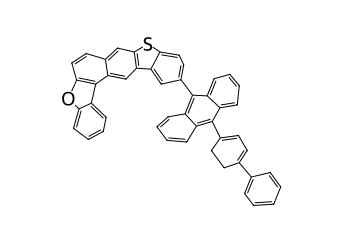 C1=C(c2ccccc2)CCC(c2c3ccccc3c(-c3ccc4sc5cc6ccc7oc8ccccc8c7c6cc5c4c3)c3ccccc23)=C1